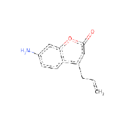 C=CCc1cc(=O)oc2cc(N)ccc12